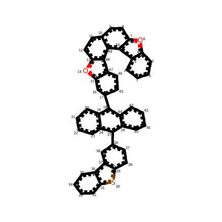 c1ccc2c(c1)oc1ccc3ccc4oc5cc(-c6c7ccccc7c(-c7ccc8sc9ccccc9c8c7)c7ccccc67)ccc5c4c3c12